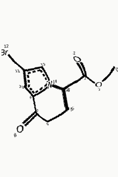 COC(=O)C1CCC(=O)c2cc(Br)cn21